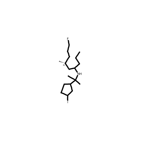 CCCC(C[C@H](C)CCCF)NC(C)(C)C1CCC(I)C1